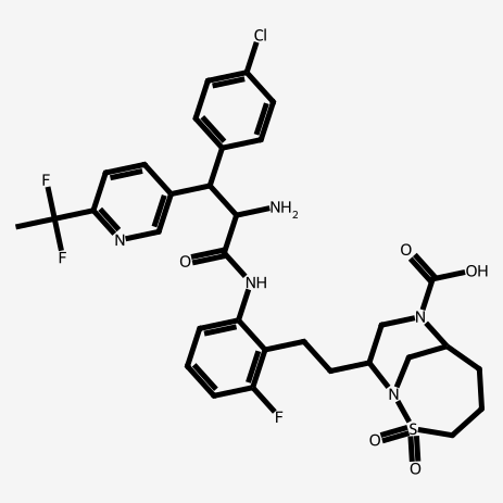 CC(F)(F)c1ccc(C(c2ccc(Cl)cc2)C(N)C(=O)Nc2cccc(F)c2CCC2CN(C(=O)O)C3CCCS(=O)(=O)N2C3)cn1